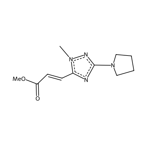 COC(=O)/C=C/c1nc(N2CCCC2)nn1C